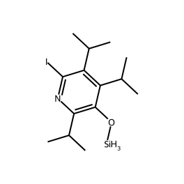 CC(C)c1nc(I)c(C(C)C)c(C(C)C)c1O[SiH3]